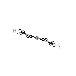 C=CC(=O)OCCCCOc1ccc(/C=C/c2ccc(/C=C/c3ccc(OCCCCOC(=O)C=C)cc3)cc2)cc1